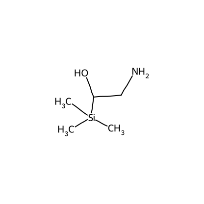 C[Si](C)(C)C(O)CN